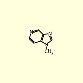 [CH2]n1cnc2cnccc21